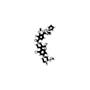 CCOc1c(C(=O)NS(=O)(=O)N2CCCC2)ccc(C(=O)N2CCc3c(c(=O)oc4c(C)c(N5CCN(C)[C@@H](COC)C5)cc(Cl)c34)C2)c1F